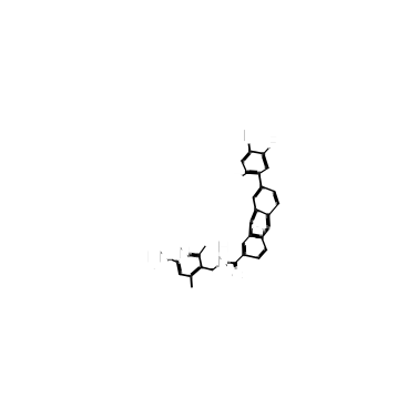 Cc1cc(N)nc(C)c1CNC(=O)c1ccc2c(c1)c1oc2c2ccc(-c3cc(F)c(F)cc3F)cc21